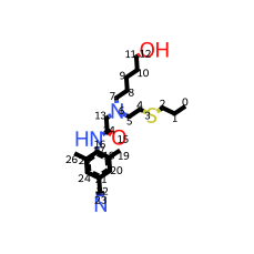 CCCSCCN(CCCCCO)CC(=O)Nc1c(C)cc(C#N)cc1C